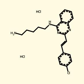 Cl.Cl.NCCCCCNc1nc(C=Cc2ccc(Cl)cc2)nc2ccccc12